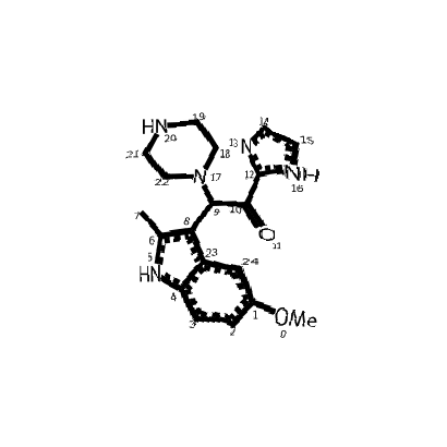 COc1ccc2[nH]c(C)c(C(C(=O)c3ncc[nH]3)N3CCNCC3)c2c1